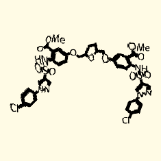 COC(=O)c1cc(OCC2CCC(COc3ccc(NS(=O)(=O)c4cnn(-c5ccc(Cl)cc5)c4)c(C(=O)OC)c3)O2)ccc1NS(=O)(=O)c1cnn(-c2ccc(Cl)cc2)c1